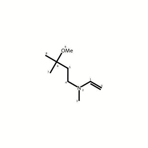 C=CN(C)CCC(C)(C)OC